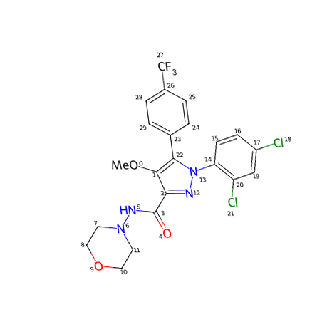 COc1c(C(=O)NN2CCOCC2)nn(-c2ccc(Cl)cc2Cl)c1-c1ccc(C(F)(F)F)cc1